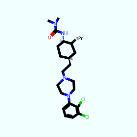 CCCC1C[C@@H](CCN2CCN(c3cccc(Cl)c3Cl)CC2)CC[C@@H]1NC(=O)N(C)C